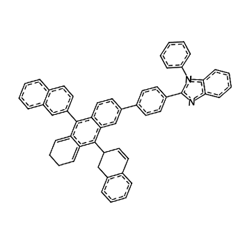 C1=CC(c2c3c(c(-c4ccc5ccccc5c4)c4ccc(-c5ccc(-c6nc7ccccc7n6-c6ccccc6)cc5)cc24)=CCCC=3)Cc2ccccc21